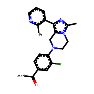 CNC(=O)c1ccc(N2CCn3c(C)nc(-c4cccnc4C(C)C)c3C2)c(F)c1